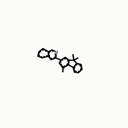 Cc1cc(-c2cc3ccccc3cn2)cc2c1-c1ccccc1C2(C)C